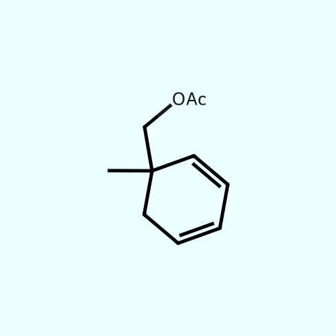 CC(=O)OCC1(C)C=CC=CC1